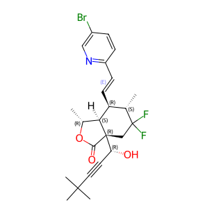 C[C@H]1OC(=O)[C@]2([C@H](O)C#CC(C)(C)C)CC(F)(F)[C@@H](C)[C@H](/C=C/c3ccc(Br)cn3)[C@H]12